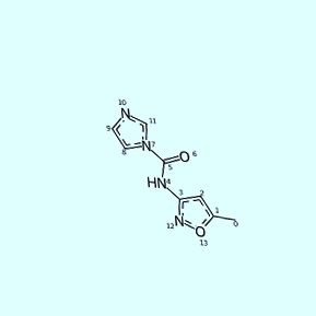 Cc1cc(NC(=O)n2ccnc2)no1